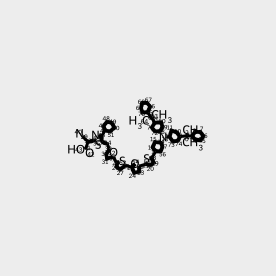 CC(C)(c1ccccc1)c1ccc(N(c2ccc(-c3ccc(-c4ccc(-c5ccc(-c6ccc(C=c7s/c(=C(/C#N)C(=O)O)nc7-c7ccccc7)o6)s5)o4)s3)cc2)c2ccc(C(C)(C)c3ccccc3)cc2)cc1